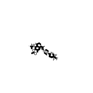 [CH2]C(C)C[C@H]1[C@@H](OC(C)=O)C(C)=C[C@@H]2[C@H]([C@@H](C)CN3CCN(c4ccc(C(F)(F)F)cn4)CC3)CC[C@@H](C)[C@@]21O